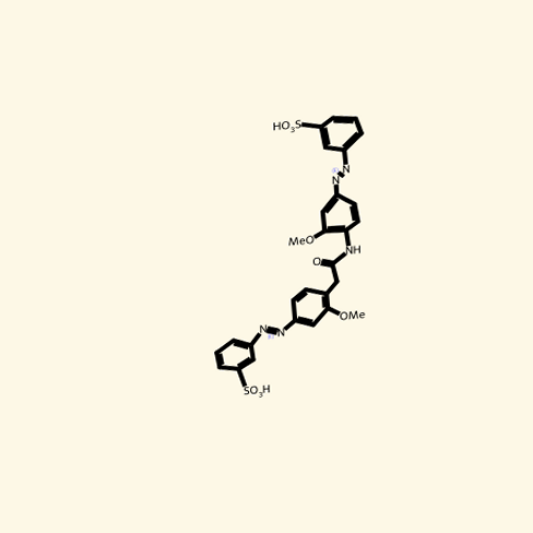 COc1cc(/N=N/c2cccc(S(=O)(=O)O)c2)ccc1CC(=O)Nc1ccc(/N=N/c2cccc(S(=O)(=O)O)c2)cc1OC